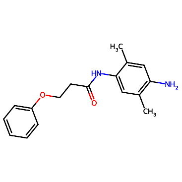 Cc1cc(NC(=O)CCOc2ccccc2)c(C)cc1N